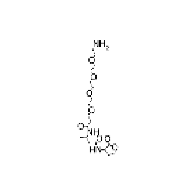 CC(CC(=O)NC1CCOC1=O)NC(=O)CCOCCOCCOCCOCCN